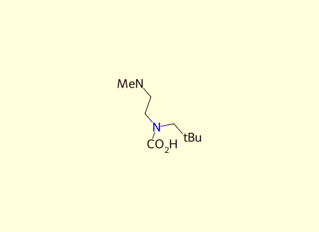 CNCCN(CC(C)(C)C)C(=O)O